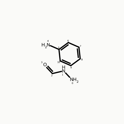 NNC=O.Nc1ccccc1